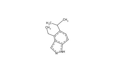 CCc1c(C(C)C)ccc2[nH]ncc12